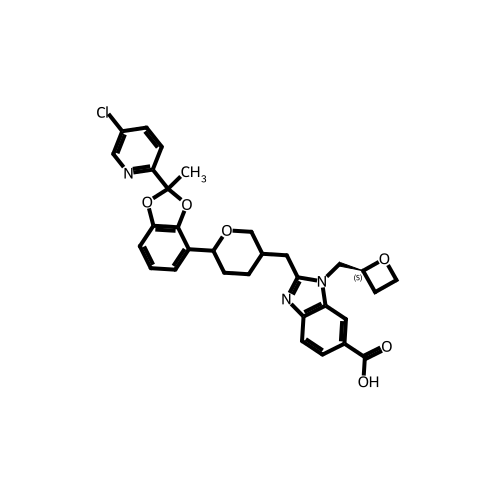 CC1(c2ccc(Cl)cn2)Oc2cccc(C3CCC(Cc4nc5ccc(C(=O)O)cc5n4C[C@@H]4CCO4)CO3)c2O1